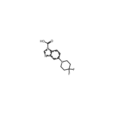 O=C(O)n1cnc2cc(N3CCC(F)(F)CC3)ccc21